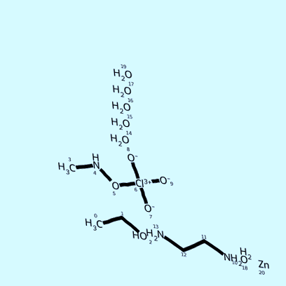 CCO.CNO[Cl+3]([O-])([O-])[O-].NCCN.O.O.O.O.O.O.[Zn]